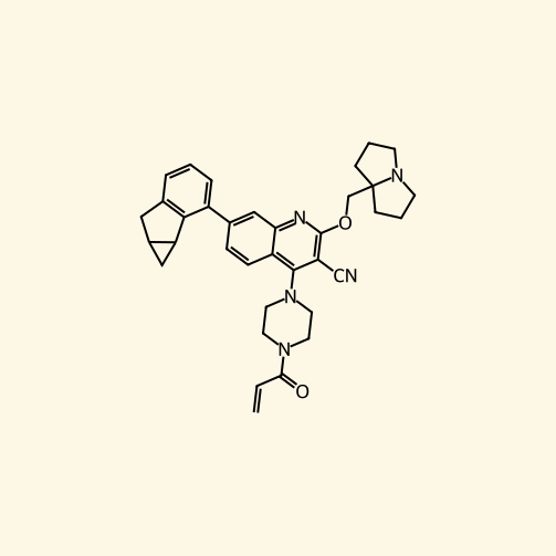 C=CC(=O)N1CCN(c2c(C#N)c(OCC34CCCN3CCC4)nc3cc(-c4cccc5c4C4CC4C5)ccc23)CC1